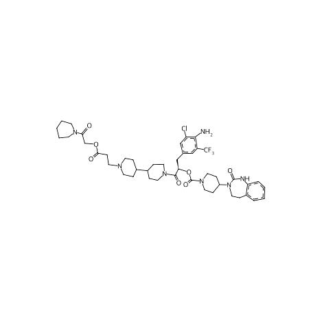 Nc1c(Cl)cc(C[C@@H](OC(=O)N2CCC(N3CCc4ccccc4NC3=O)CC2)C(=O)N2CCC(C3CCN(CCC(=O)OCC(=O)N4CCCCC4)CC3)CC2)cc1C(F)(F)F